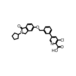 O=C(O)c1ncc(-c2cccc(COc3ccc4c(c3)CN(C3CCCC3)C4=O)c2)cc1Cl